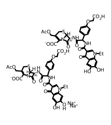 CCn1cc(C(=O)NC(C(=O)N[C@@H]2C(=O)N3C(C(=O)[O-])=C(COC(C)=O)CS[C@H]23)c2ccc(OCC(=O)O)cc2)c(=O)c2cc(O)c(O)cc21.CCn1cc(C(=O)NC(C(=O)N[C@@H]2C(=O)N3C(C(=O)[O-])=C(COC(C)=O)CS[C@H]23)c2ccc(OCC(=O)O)cc2)c(=O)c2cc(O)c(O)cc21.[Na+].[Na+]